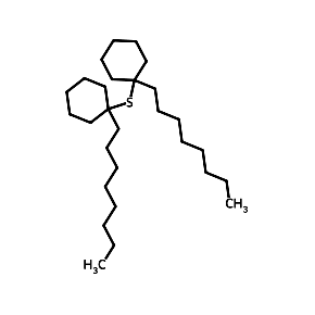 CCCCCCCCC1(SC2(CCCCCCCC)CCCCC2)CCCCC1